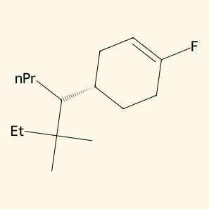 CCCC([C@@H]1CC=C(F)CC1)C(C)(C)CC